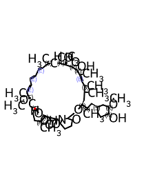 CO[C@H]1C[C@@H]2CC[C@@H](C)[C@@](O)(O2)C(=O)C(=O)N2CCCCC2C(=O)O[C@H]([C@H](C)C[C@@H]2CC[C@@H](O)[C@H](OC)C2)CC(C)[C@H](C)/C=C(\C)[C@@H](O)[C@@H](OC)C(=O)[C@H](C)C[C@H](C)/C=C/C=C/C=C/1C